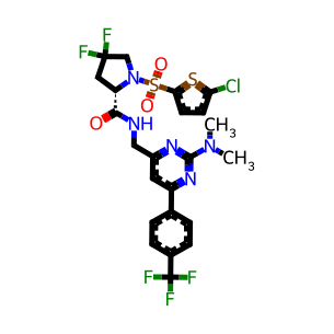 CN(C)c1nc(CNC(=O)[C@@H]2CC(F)(F)CN2S(=O)(=O)c2ccc(Cl)s2)cc(-c2ccc(C(F)(F)F)cc2)n1